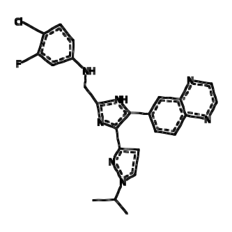 CC(C)n1ccc(-c2nc(CNc3ccc(Cl)c(F)c3)[nH]c2-c2ccc3nccnc3c2)n1